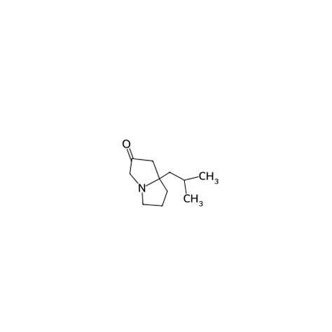 CC(C)CC12CCCN1CC(=O)C2